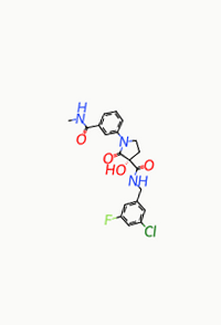 CNC(=O)c1cccc(N2CC[C@@](O)(C(=O)NCc3cc(F)cc(Cl)c3)C2=O)c1